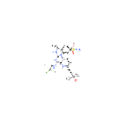 CC(Nc1nc(NCC(F)(F)F)c2nc(C#CC(C)(C)O)ccc2n1)c1ccc(S(N)(=O)=O)cc1